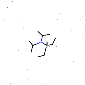 CC[SiH](CC)N(C(C)C)C(C)C